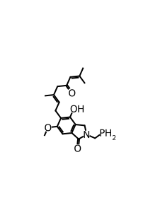 COc1cc2c(c(O)c1C/C=C(\C)CC(=O)C=C(C)C)CN(CP)C2=O